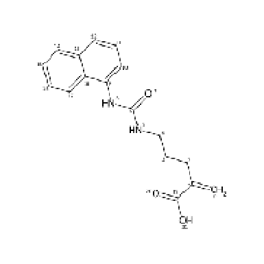 C=C(CCCNC(=O)Nc1cccc2ccccc12)C(=O)O